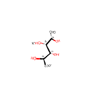 O=C[C@H](O)[C@@H](O)[C@H](O)[C@H](O)C(=O)[O-].[K+]